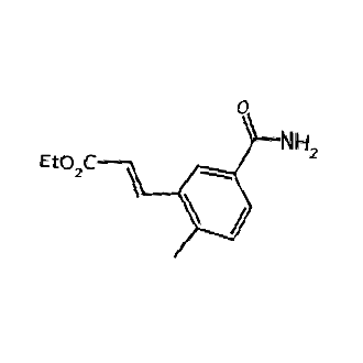 CCOC(=O)C=Cc1cc(C(N)=O)ccc1C